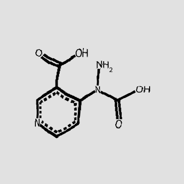 NN(C(=O)O)c1ccncc1C(=O)O